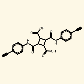 C#Cc1ccc(NC(=O)C2C(C(=O)O)C(C(=O)Nc3ccc(C#C)cc3)C2C(=O)O)cc1